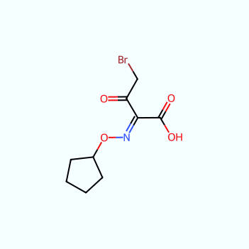 O=C(O)/C(=N/OC1CCCC1)C(=O)CBr